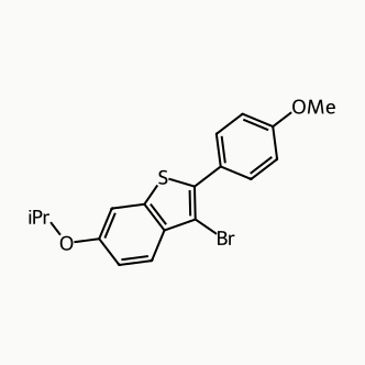 COc1ccc(-c2sc3cc(OC(C)C)ccc3c2Br)cc1